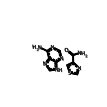 NC(=O)c1cscn1.Nc1ncnc2[nH]cnc12